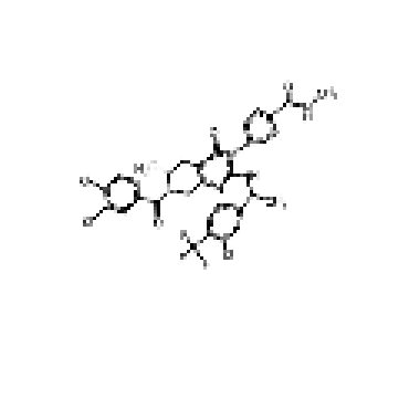 CNC(=O)c1ccc(-n2c(NC(C)c3ccc(C(F)(F)F)c(Cl)c3)nc3c(c2=O)C[C@@H](C)N(C(=O)c2ccc(Cl)c(Cl)c2)C3)cc1